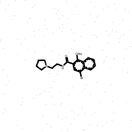 COc1c(C(=O)NCCN2CCCC2)cc(Br)c2ccccc12